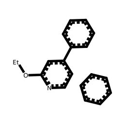 CCOc1cc(-c2ccccc2)ccn1.c1ccccc1